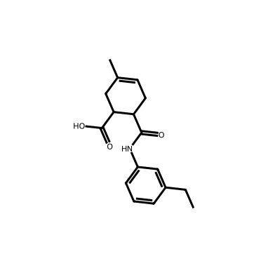 CCc1cccc(NC(=O)C2CC=C(C)CC2C(=O)O)c1